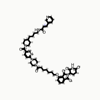 O=C(/C=C/c1cccnc1)NCCCCC1CCN(C(=O)c2ccc(N3CCN(C(=O)CCCCCCOc4cccc5c4C(=O)N(C4CCC(=O)NC4=O)C5=O)CC3)nn2)CC1